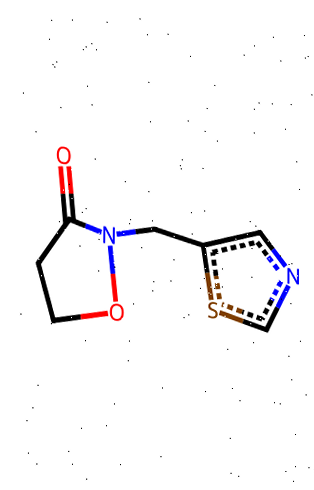 O=C1CCON1Cc1cncs1